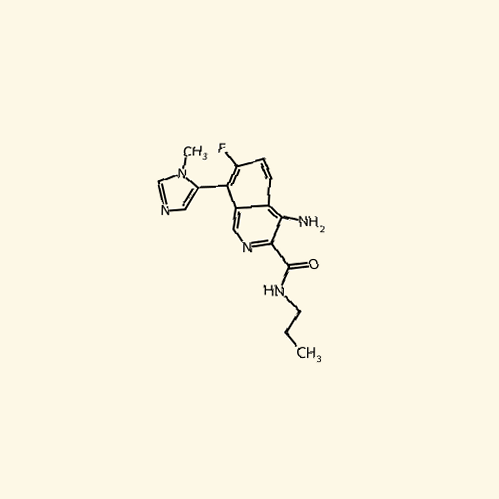 CCCNC(=O)c1ncc2c(-c3cncn3C)c(F)ccc2c1N